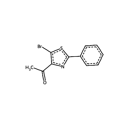 CC(=O)c1nc(-c2ccccc2)sc1Br